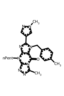 CCCCCn1c2nc(-c3cnn(C)c3)n(Cc3ccc(C)cc3)c2c(=O)n2c(C)nnc12